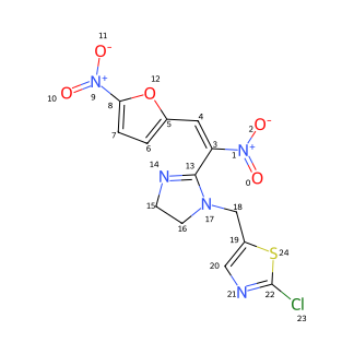 O=[N+]([O-])/C(=C/c1ccc([N+](=O)[O-])o1)C1=NCCN1Cc1cnc(Cl)s1